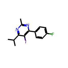 Cc1nc(-c2ccc(F)cc2)c(I)c(C(C)C)n1